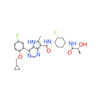 Cc1[nH]c2c(-c3cc(F)ccc3OCC3CC3)ncnc2c1C(=O)N[C@H]1CC[C@@H](NC(=O)[C@H](C)O)C[C@H]1F